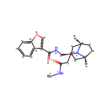 CC(C)(C)NC(=O)CCN1[C@@H]2CC[C@H]1C[C@H](CNC(=O)c1coc3ccccc13)C2